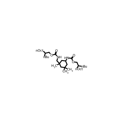 CCCCCCCCC(CCCC)COC(=O)NCC1(C)CC(NC(=O)OCC(CCCC)CCCCCCCC)CC(C)(C)C1